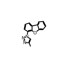 Cc1cn(-c2cccc3c2oc2ccccc23)nn1